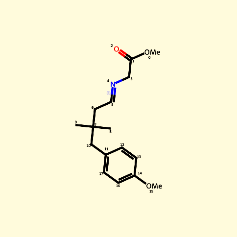 COC(=O)C/N=C/CC(C)(C)Cc1ccc(OC)cc1